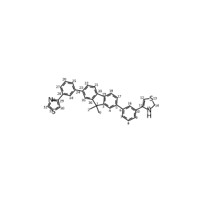 CC1(C)c2cc(-c3cccc(C4=CSCN4)c3)ccc2-c2ccc(-c3cccc(-c4cscn4)c3)cc21